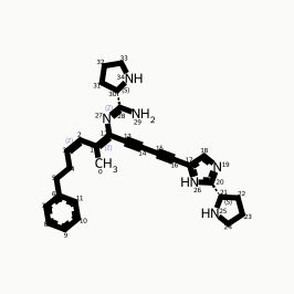 CC(/C=C\CCc1ccccc1)=C(C#CC#Cc1cnc([C@@H]2CCCN2)[nH]1)/N=C(\N)[C@@H]1CCCN1